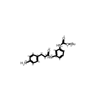 CC(C)(C)OC(=O)Nc1cccc(NC(=O)CCc2ccc(N)cc2)c1